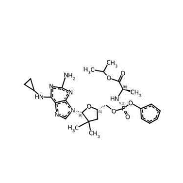 CC(C)OC(=O)[C@@H](C)N[P@](=O)(OC[C@@H]1CC(C)(C)[C@H](n2cnc3c(NC4CC4)nc(N)nc32)O1)Oc1ccccc1